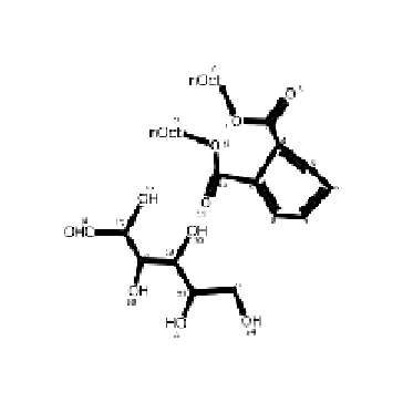 CCCCCCCCOC(=O)c1ccccc1C(=O)OCCCCCCCC.O=CC(O)C(O)C(O)C(O)CO